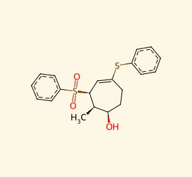 C[C@@H]1[C@H](O)CCC(Sc2ccccc2)=C[C@@H]1S(=O)(=O)c1ccccc1